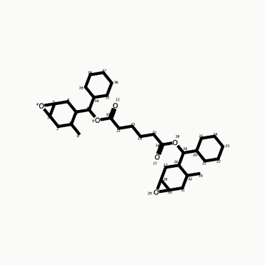 CC1CC2OC2CC1C(OC(=O)CCCCC(=O)OC(C1CCCCC1)C1CC2OC2CC1C)C1CCCCC1